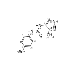 CCCCc1ccc(NC(=O)Nc2c[nH]nc2C)cc1